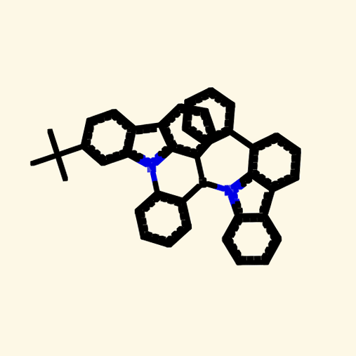 CC(C)(C)c1ccc2c3cccc4c3n(c2c1)-c1ccccc1B4n1c2ccccc2c2cccc(-c3ccccc3)c21